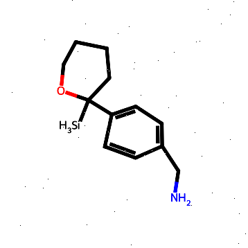 NCc1ccc(C2([SiH3])CCCCO2)cc1